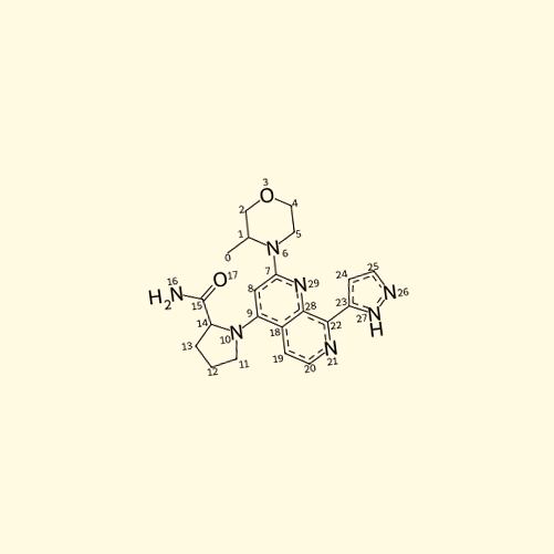 CC1COCCN1c1cc(N2CCCC2C(N)=O)c2ccnc(-c3ccn[nH]3)c2n1